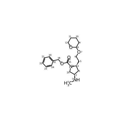 CN[C@@H]1C[C@H](CCOC2CCCCO2)N(C(=O)OCc2ccccc2)C1